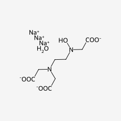 O.O=C([O-])CN(O)CCN(CC(=O)[O-])CC(=O)[O-].[Na+].[Na+].[Na+]